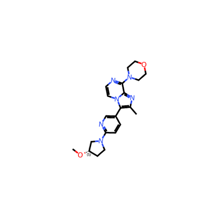 CO[C@H]1CCN(c2ccc(-c3c(C)nc4c(N5CCOCC5)nccn34)cn2)C1